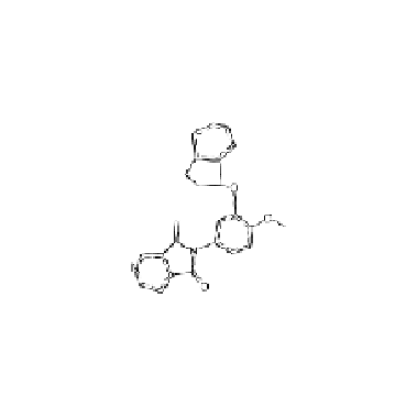 C=C1c2cnccc2C(=O)N1c1ccc(OC)c(OC2CCc3ccccc32)c1